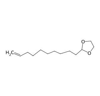 C=CCCCCCCCCC1OCCO1